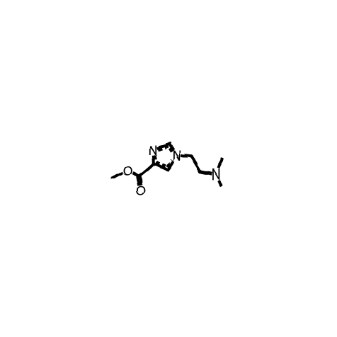 COC(=O)c1cn(CCN(C)C)cn1